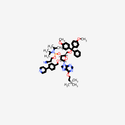 COc1ccc(C(OC[C@H]2O[C@@H](n3cnc4c(OCC[Si](C)(C)C)ncnc43)[C@H](OCc3ccc(-c4ccncc4)cc3)[C@@H]2OP(OCCC#N)N(C(C)C)C(C)C)(c2ccccc2)c2ccc(OC)cc2)cc1